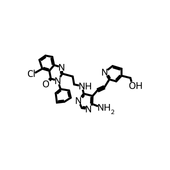 Nc1ncnc(NCCc2nc3cccc(Cl)c3c(=O)n2-c2ccccc2)c1C#Cc1cc(CO)ccn1